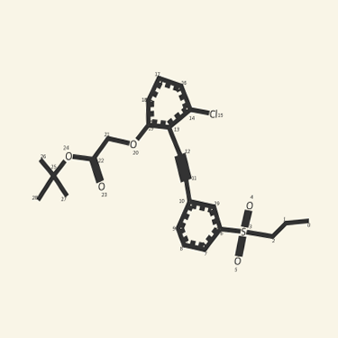 CCCS(=O)(=O)c1cccc(C#Cc2c(Cl)cccc2OCC(=O)OC(C)(C)C)c1